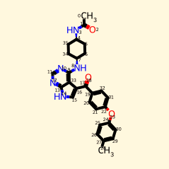 CC(=O)N[C@H]1CC[C@@H](Nc2ncnc3[nH]cc(C(=O)c4ccc(Oc5ccc(C)cc5)cc4)c23)CC1